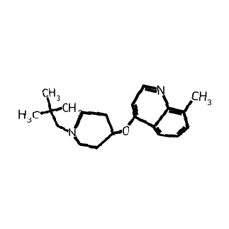 Cc1cccc2c(OC3CCN(CC(C)(C)C)CC3)ccnc12